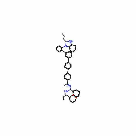 C=C[C@H](NC(/N=C(\C)c1ccc(-c2ccc(-c3cccc(-c4ccccc4N4c5ccccc5NC4CCC)c3)cc2)cc1)c1ccccc1)c1ccccc1